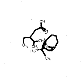 CC(C)N1C2CCCC1CC2.CCC(CC(=O)O)C(C)C